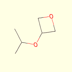 CC(C)OC1COC1